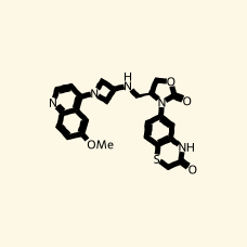 COc1ccc2nccc(N3CC(NC[C@H]4COC(=O)N4c4ccc5c(c4)NC(=O)CS5)C3)c2c1